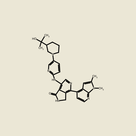 Cc1cc2c(-c3ncc(Nc4ccc(N5CCCC(C(C)(C)O)C5)cn4)c4c3CNC4=O)ccnc2n1C